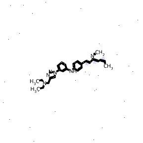 C=NC(=C\C=C/C)/C=C/c1ccc(Nc2cccc(-n3cc(CN(CC)CC)nn3)c2)cc1